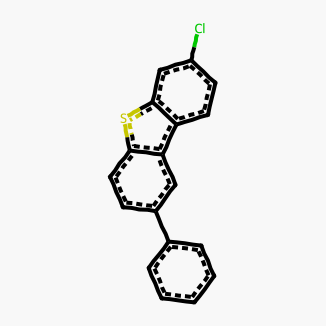 Clc1ccc2c(c1)sc1ccc(-c3ccccc3)cc12